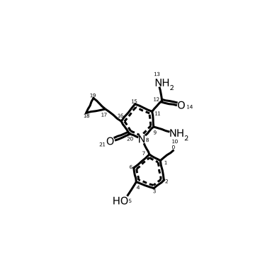 Cc1ccc(O)cc1-n1c(N)c(C(N)=O)cc(C2CC2)c1=O